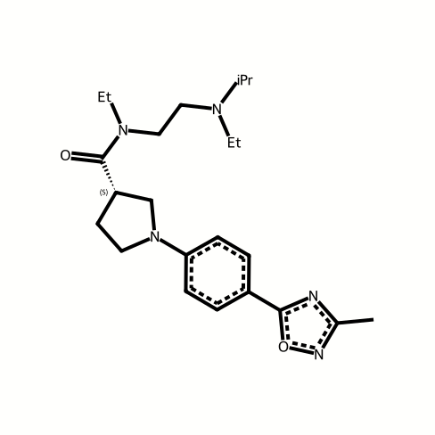 CCN(CCN(CC)C(C)C)C(=O)[C@H]1CCN(c2ccc(-c3nc(C)no3)cc2)C1